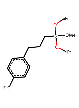 CO[Si](CCCc1ccc(C(F)(F)F)cc1)(OC(C)C)OC(C)C